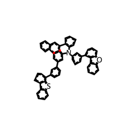 c1cc(-c2cccc(N(c3cccc(-c4cccc5oc6ccccc6c45)c3)c3ccccc3-c3ccc4ccccc4c3)c2)cc(-c2cccc3c2sc2ccccc23)c1